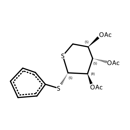 CC(=O)O[C@@H]1[C@@H](OC(C)=O)[C@H](Sc2ccccc2)SC[C@H]1OC(C)=O